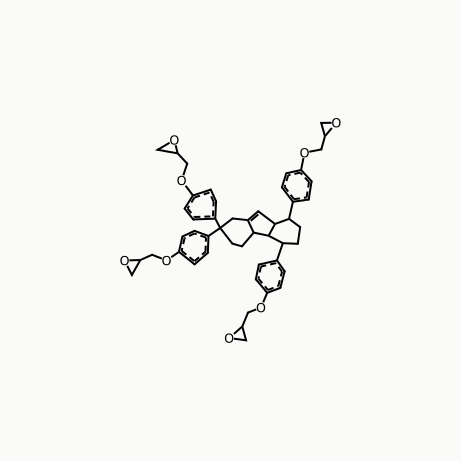 C1=C2CC(c3ccc(OCC4CO4)cc3)(c3ccc(OCC4CO4)cc3)CCC2C2C(c3ccc(OCC4CO4)cc3)CCC(c3ccc(OCC4CO4)cc3)C12